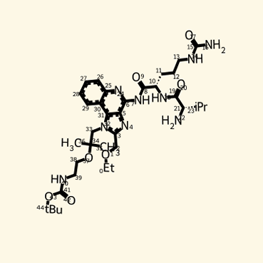 CCOCc1nc2c(NC(=O)[C@H](CCCNC(N)=O)NC(=O)[C@@H](N)C(C)C)nc3ccccc3c2n1CC(C)(C)OCCNC(=O)OC(C)(C)C